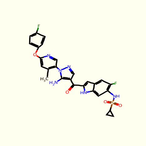 Cc1cc(Oc2ccc(F)cc2)ncc1-n1ncc(C(=O)c2cc3cc(F)c(NS(=O)(=O)C4CC4)cc3[nH]2)c1N